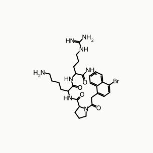 N=C(N)NCCCC(NC(=O)C(CCCCN)NC(=O)C1CCCN1C(=O)Cc1ccc(Br)c2ccccc12)C(N)=O